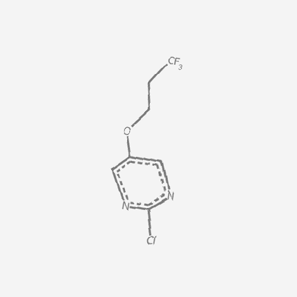 FC(F)(F)CCOc1cnc(Cl)nc1